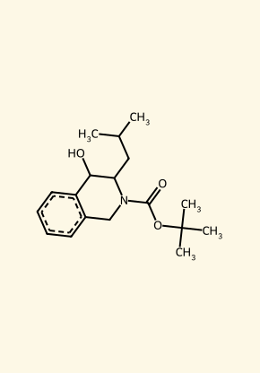 CC(C)CC1C(O)c2ccccc2CN1C(=O)OC(C)(C)C